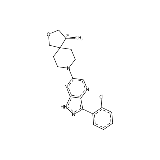 C[C@@H]1COCC12CCN(c1cnc3c(-c4ccccc4Cl)n[nH]c3n1)CC2